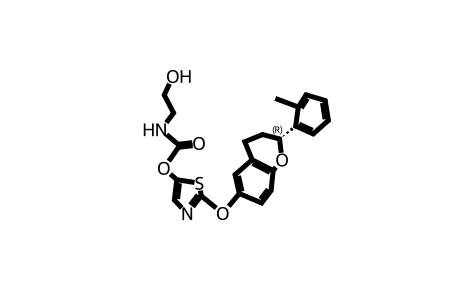 Cc1ccccc1[C@H]1CCc2cc(Oc3ncc(OC(=O)NCCO)s3)ccc2O1